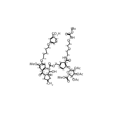 C=C1C[C@H]2C(O)N(C(=O)OCc3ccc(O[C@@H]4O[C@H](C(=O)OC)[C@@H](OC(C)=O)[C@H](OC(C)=O)[C@H]4OC(C)=O)c(C(=O)NCCOCCONC(=O)OC(C)(C)C)c3)c3cc(OCCCCCOc4cncc(C(=O)O)c4)c(OC)cc3C(=O)N2C1